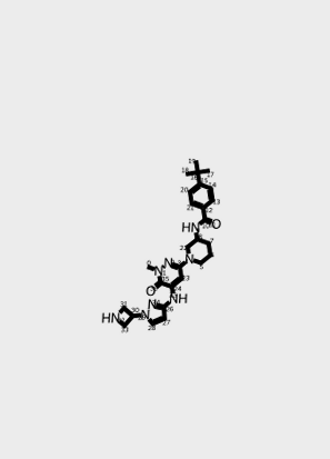 Cn1nc(N2CCCC(NC(=O)c3ccc(C(C)(C)C)cc3)C2)cc(Nc2ccn(C3CNC3)n2)c1=O